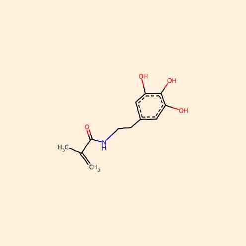 C=C(C)C(=O)NCCc1cc(O)c(O)c(O)c1